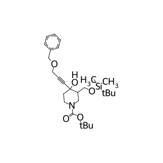 CC(C)(C)OC(=O)N1CCC(O)(C#CCOCc2ccccc2)C(CO[Si](C)(C)C(C)(C)C)C1